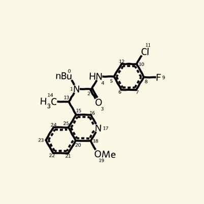 CCCCN(C(=O)Nc1ccc(F)c(Cl)c1)C(C)c1cnc(OC)c2ccccc12